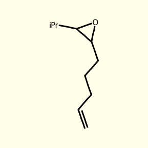 C=CCCCC1OC1C(C)C